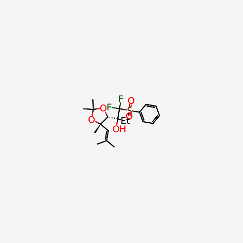 CCC(O)([C@H]1OC(C)(C)O[C@@]1(C)C=C(C)C)C(F)(F)S(=O)(=O)c1ccccc1